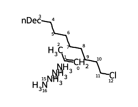 C=CC.CCCCCCCCCCCCCCCCCCCl.N.N.N.N